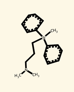 CN(C)CCC[Si](C)(c1ccccc1)c1ccccc1